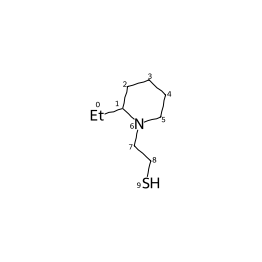 CCC1CCCCN1CCS